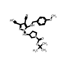 C#CC1=N/[N+](=[SH]/C2CCN(C(=O)OC(C)(C)C)C2)C(NCc2ccc(OC)cc2)=C1C#N